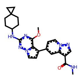 CNC(=O)c1cnn2ccc(-c3ccn4nc(NC5CCC6(CC5)CC6)nc(OC)c34)cc12